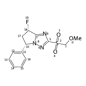 COCS(=O)(=O)c1nc2n(n1)[C@H](c1ccccc1)C[C@@H]2F